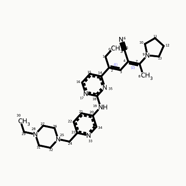 CC/C(=C\C(C#N)=C(/C)N1CCCC1)c1ccnc(Nc2ccc(CN3CCN(CC)CC3)nc2)n1